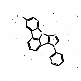 Cc1ccc2c(c1)c1cccc3c4c(ncn4-c4ccccc4)n2c13